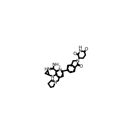 N=C(N)c1nc(-c2ccc3c(c2)CN(C2CCC(=O)NC2=O)C3=O)cc(CN2CCCC2)c1NC1CC1